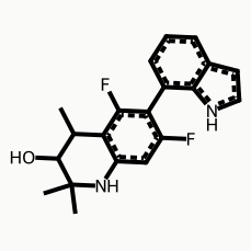 CC1c2c(cc(F)c(-c3cccc4cc[nH]c34)c2F)NC(C)(C)C1O